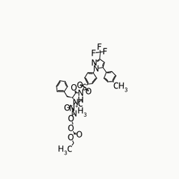 CCOC(=O)OCON=[N+]([O-])N(C)[C@@H](Cc1ccccc1)C(=O)NS(=O)(=O)c1ccc(-n2nc(C(F)(F)F)cc2-c2ccc(C)cc2)cc1